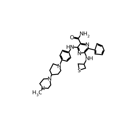 CN1CCN(C2CCN(c3ccc(Nc4nc(NC5CSC5)c(-c5ccccc5)nc4C(N)=O)cc3)CC2)CC1